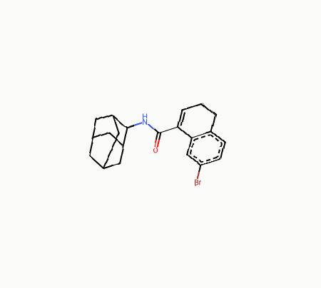 O=C(NC1C2CC3CC(C2)CC1C3)C1=CCCc2ccc(Br)cc21